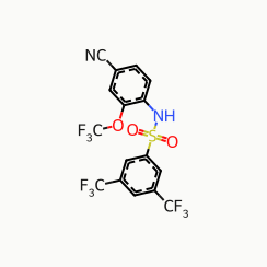 N#Cc1ccc(NS(=O)(=O)c2cc(C(F)(F)F)cc(C(F)(F)F)c2)c(OC(F)(F)F)c1